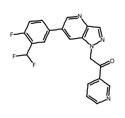 O=C(Cn1ncc2ncc(-c3ccc(F)c(C(F)F)c3)cc21)c1cccnc1